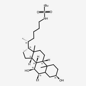 CC[C@@H]1C2C[C@H](O)CCC2(C)[C@H]2CCC3(C)[C@@H]([C@H](C)CCCCNS(=O)(=O)C(C)(C)C)CC[C@H]3[C@H]2[C@@H]1O